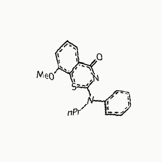 CCCN(c1ccccc1)c1nc(=O)c2cccc(OC)c2s1